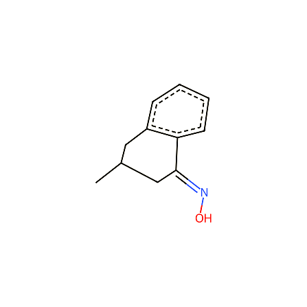 CC1C/C(=N\O)c2ccccc2C1